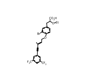 CCO[C@@H](Cc1ccc(OC/C=C(\C)C#Cc2cc(C(F)(F)F)cc(C(F)(F)F)c2)c(Br)c1)C(=O)O